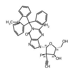 C#C[C@@]1(F)[C@H](O)[C@@H](CO)O[C@H]1n1cnc2c(=O)n(C(c3ccccc3)(c3ccccc3)c3ccccc3OC)c(N)nc21